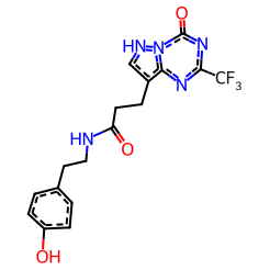 O=C(CCc1c[nH]n2c(=O)nc(C(F)(F)F)nc12)NCCc1ccc(O)cc1